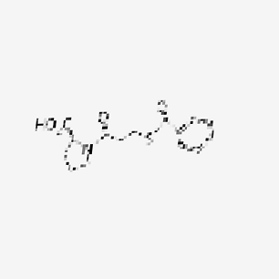 O=C(SCCC(=O)N1CCC[C@H]1C(=O)O)c1ccccc1